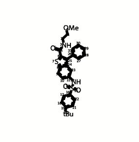 COCCNC(=O)c1sc2ccc(NS(=O)(=O)c3ccc(C(C)(C)C)cc3)cc2c1-c1ccccc1